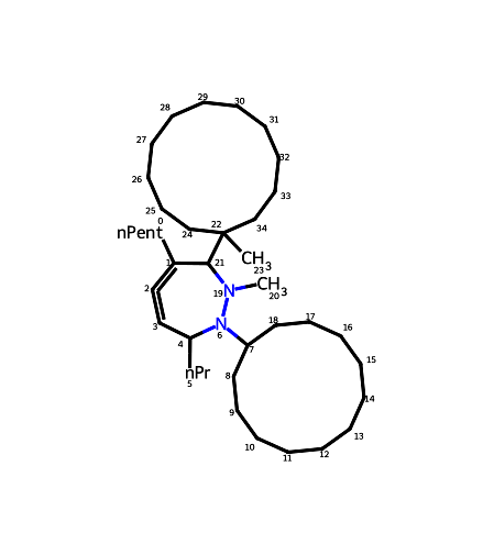 CCCCCC1=C=CC(CCC)N(C2CCCCCCCCCCC2)N(C)C1C1(C)CCCCCCCCCCC1